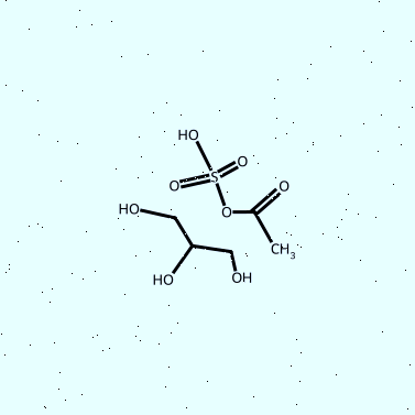 CC(=O)OS(=O)(=O)O.OCC(O)CO